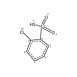 O=S(=O)(S)c1ccccc1Cl